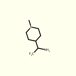 CN1CCC(C(N)C(F)(F)F)CC1